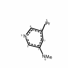 CNc1cncc(C(C)C)c1